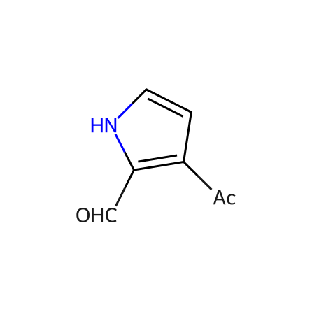 CC(=O)c1cc[nH]c1C=O